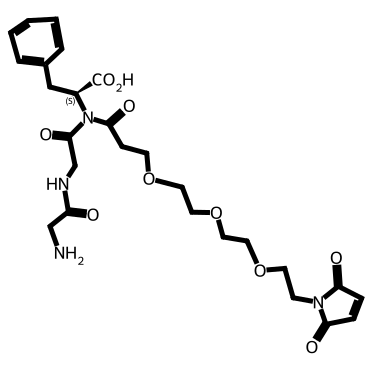 NCC(=O)NCC(=O)N(C(=O)CCOCCOCCOCCN1C(=O)C=CC1=O)[C@@H](Cc1ccccc1)C(=O)O